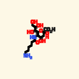 NCCCCCC(=O)N[C@H]1[C@H]([C@H](O)[C@H](O)CO)O[C@](O)(C(=O)O)C[C@@H]1O